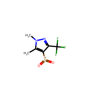 Cc1c([SH](=O)=O)c(C(F)(F)F)nn1C